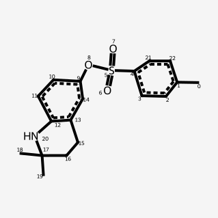 Cc1ccc(S(=O)(=O)Oc2ccc3c(c2)CCC(C)(C)N3)cc1